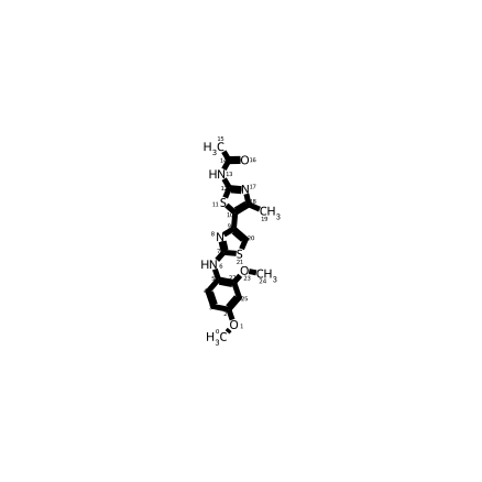 COc1ccc(Nc2nc(-c3sc(NC(C)=O)nc3C)cs2)c(OC)c1